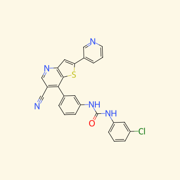 N#Cc1cnc2cc(-c3cccnc3)sc2c1-c1cccc(NC(=O)Nc2cccc(Cl)c2)c1